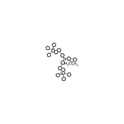 CC1(C)c2ccccc2-c2ccc(N(c3ccc(-c4cccc5c4ccc4c(-c6ccccc6)c(-c6ccccc6)n(-c6ccccc6)c45)cc3)c3ccc(-c4cccc5c4ccc4c(-c6ccccc6)c(-c6ccccc6)n(-c6ccccc6)c45)cc3)cc21